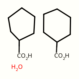 O.O=C(O)C1CCCCC1.O=C(O)C1CCCCC1